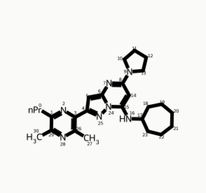 CCCc1nc(-c2cc3nc(N4CCCC4)cc(NC4CCCCCC4)n3n2)c(C)nc1C